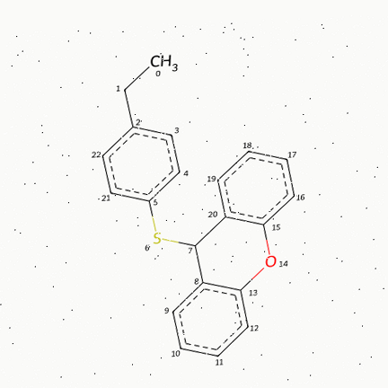 CCc1ccc(SC2c3ccccc3Oc3ccccc32)cc1